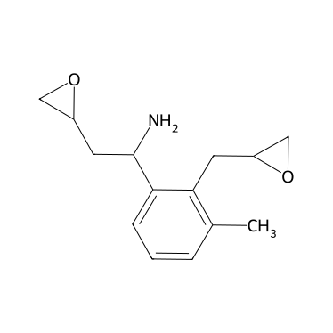 Cc1cccc(C(N)CC2CO2)c1CC1CO1